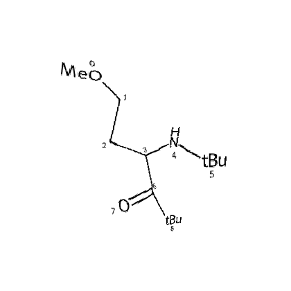 COCCC(NC(C)(C)C)C(=O)C(C)(C)C